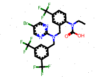 CCN(C(=O)O)c1ccc(C(F)(F)F)cc1CN(Cc1cc(C(F)(F)F)cc(C(F)(F)F)c1)c1ncc(Br)cn1